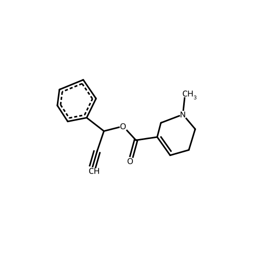 C#CC(OC(=O)C1=CCCN(C)C1)c1ccccc1